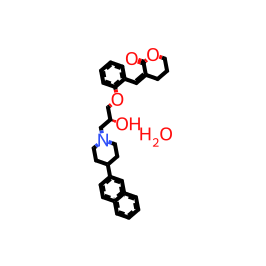 O.O=C1OCCCC1=Cc1ccccc1OC[C@@H](O)CN1CCC(c2ccc3ccccc3c2)CC1